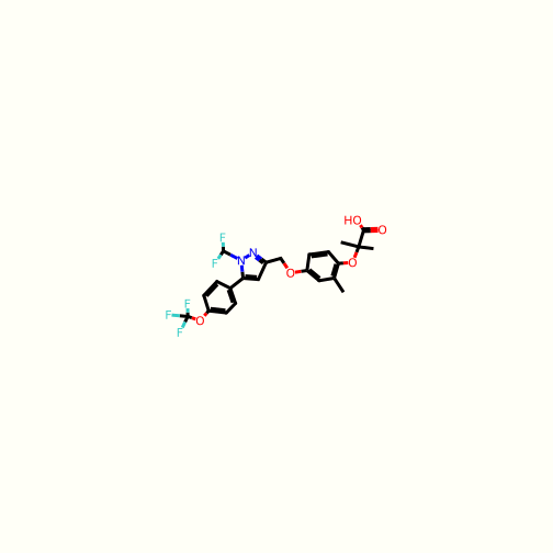 Cc1cc(OCc2cc(-c3ccc(OC(F)(F)F)cc3)n(C(F)F)n2)ccc1OC(C)(C)C(=O)O